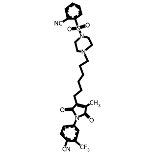 CC1=C(CCCCCCN2CCN(S(=O)(=O)c3ccccc3C#N)CC2)C(=O)N(c2ccc(C#N)c(C(F)(F)F)c2)C1=O